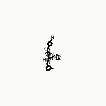 Cc1cccc(C=NNc2nc(N3CCOCC3)nc3c2ncn3CC(=O)c2ccc(C#N)cc2)c1